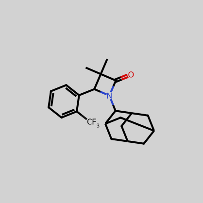 CC1(C)C(=O)N(C2C3CC4CC(C3)CC2C4)C1c1ccccc1C(F)(F)F